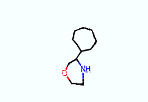 C1CCCC(C2COCCN2)CC1